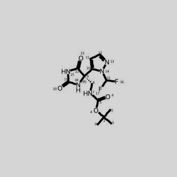 CC(C)(C)OC(=O)NC[C@]1(c2ccnn2C(F)F)NC(=O)NC1=O